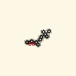 c1ccc(-c2c3ccccc3c(-c3ccc4cc(-c5cc6c7ccc8c9ccccc9oc8c7oc6c6ccccc56)ccc4c3)c3ccccc23)cc1